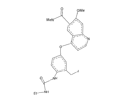 CCNC(=O)Nc1ccc(Oc2ccnc3cc(OC)c(C(=O)NC)cc23)cc1CI